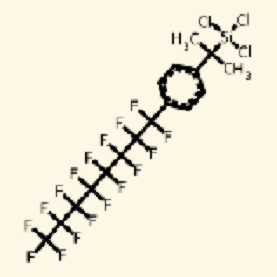 CC(C)(c1ccc(C(F)(F)C(F)(F)C(F)(F)C(F)(F)C(F)(F)C(F)(F)C(F)(F)C(F)(F)F)cc1)[Si](Cl)(Cl)Cl